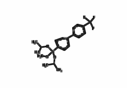 CO[Si](OC(C)C)(OC(C)C)c1ccc(-c2ccc(C(F)(F)F)cc2)cc1